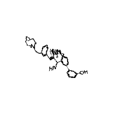 N=C(/C(N)=C/c1cccc(CN2CCOCC2)c1)c1cc(-c2cccc(O)c2)ccc1N